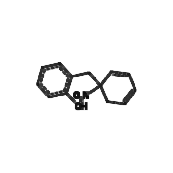 O=[N+]([O-])C1(Cc2ccccc2O)C=CC=CC1